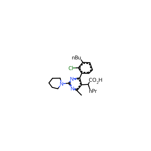 CCCCc1cccc(-c2nc(N3CCCCC3)nc(C)c2C(CCC)C(=O)O)c1Cl